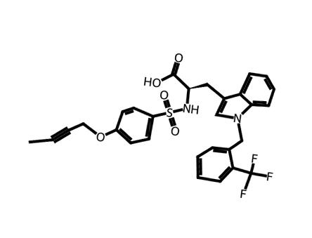 CC#CCOc1ccc(S(=O)(=O)N[C@H](Cc2cn(Cc3ccccc3C(F)(F)F)c3ccccc23)C(=O)O)cc1